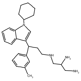 Cc1cccc(C(CCNCC(N)CN)c2cn(C3CCCCC3)c3ccccc23)c1